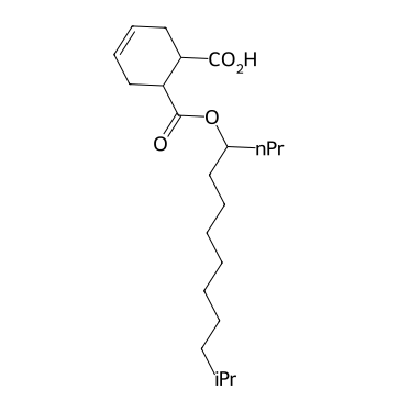 CCCC(CCCCCCCC(C)C)OC(=O)C1CC=CCC1C(=O)O